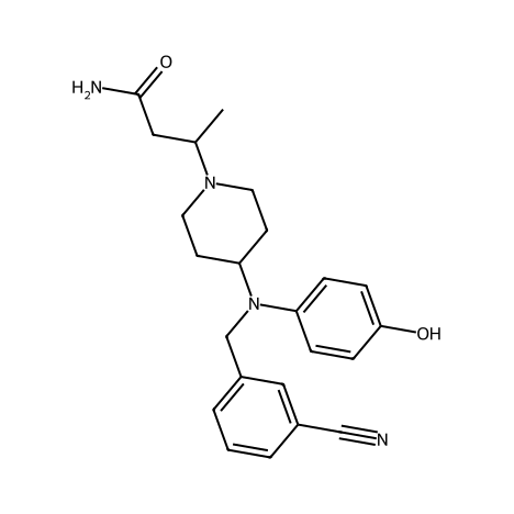 CC(CC(N)=O)N1CCC(N(Cc2cccc(C#N)c2)c2ccc(O)cc2)CC1